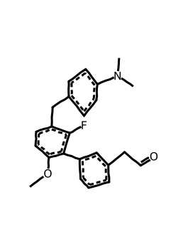 COc1ccc(Cc2ccc(N(C)C)cc2)c(F)c1-c1cccc(CC=O)c1